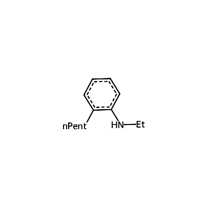 CCCCCc1ccccc1NCC